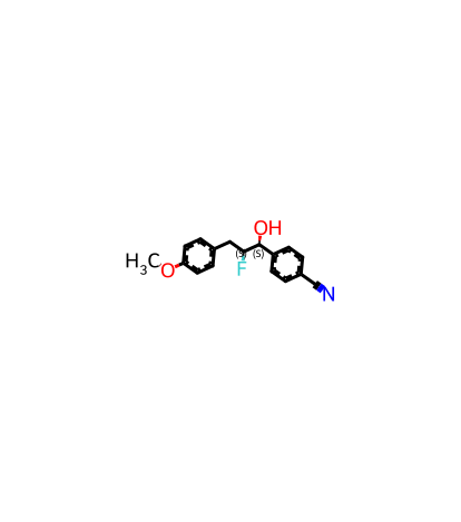 COc1ccc(C[C@H](F)[C@@H](O)c2ccc(C#N)cc2)cc1